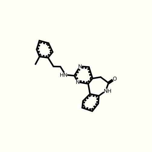 Cc1ccccc1CCNc1ncc2c(n1)-c1ccccc1NC(=O)C2